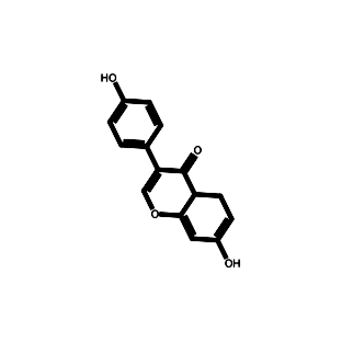 O=C1C(c2ccc(O)cc2)=COC2=CC(O)=CCC12